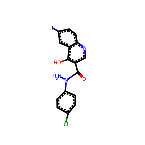 NN(C(=O)c1cnc2ccc(I)cc2c1O)c1ccc(Cl)cc1